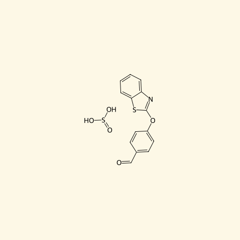 O=Cc1ccc(Oc2nc3ccccc3s2)cc1.O=S(O)O